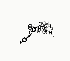 CCS(=O)(=O)NC(C(=O)NCc1ccc(OCC#Cc2ccc(F)cc2)c(OC)c1)C(C)C